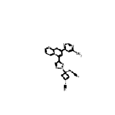 N#CC[C@]1(n2ncc(-c3cc(-c4cc(N)ncn4)cc4ncccc34)n2)C[C@@H](C#N)C1